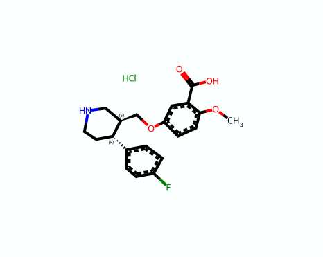 COc1ccc(OC[C@@H]2CNCC[C@H]2c2ccc(F)cc2)cc1C(=O)O.Cl